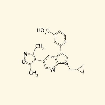 Cc1noc(C)c1-c1cnc2c(c1)c(-c1cccc(C(=O)O)c1)cn2CC1CC1